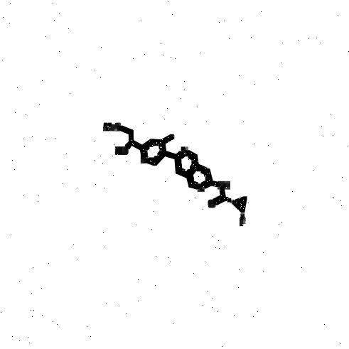 CSC[C@H](O)c1cc(C)c(-c2cc3cnc(NC(=O)[C@@H]4C[C@@H]4F)cc3cn2)cn1